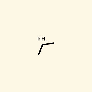 C[CH]C.[InH3]